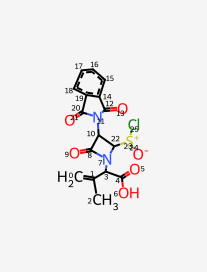 C=C(C)C(C(=O)O)N1C(=O)C(N2C(=O)c3ccccc3C2=O)C1[S+]([O-])Cl